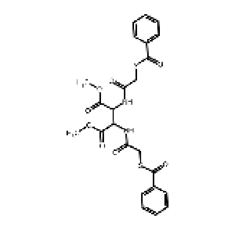 COC(=O)C(NC(=O)CSC(=O)c1ccccc1)C(NC(=O)CSC(=O)c1ccccc1)C(=O)OC